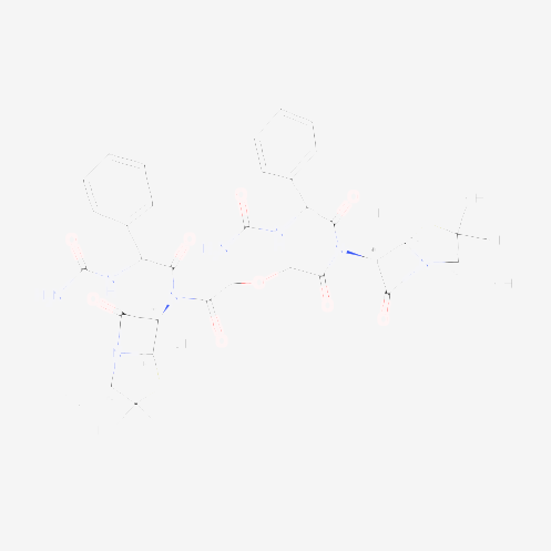 CC1(C)S[C@@H]2[C@H](N(C(=O)COCC(=O)N(C(=O)C(NC(N)=O)c3ccccc3)[C@@H]3C(=O)N4[C@@H]3SC(C)(C)[C@@H]4C(=O)O)C(=O)C(NC(N)=O)c3ccccc3)C(=O)N2[C@H]1C(=O)O